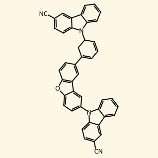 N#Cc1ccc2c(c1)c1ccccc1n2-c1ccc2oc3ccc(C4=CC=CC(n5c6ccccc6c6cc(C#N)ccc65)C4)cc3c2c1